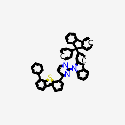 c1ccc(-c2cccc3c2sc2c(-c4ccnc(-n5c6ccccc6c6ccc(C7(c8ccccc8)c8ccccc8-c8ccccc87)cc65)n4)cccc23)cc1